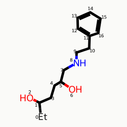 CCC(O)CCC(O)CNCCc1ccccc1